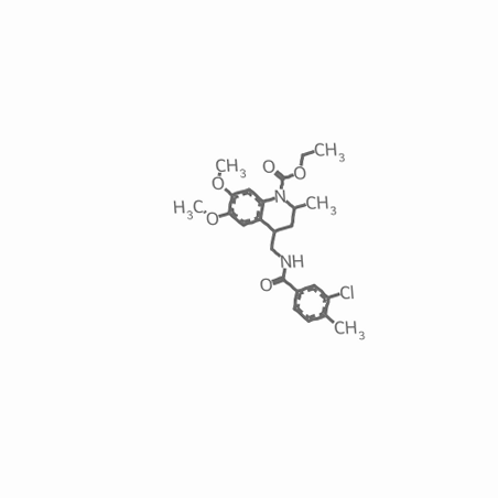 CCOC(=O)N1c2cc(OC)c(OC)cc2C(CNC(=O)c2ccc(C)c(Cl)c2)CC1C